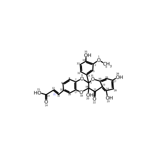 COc1cc(C23Oc4ccc(/C=C/C(=O)O)cc4OC2(O)C(=O)c2c(O)cc(O)cc2O3)ccc1O